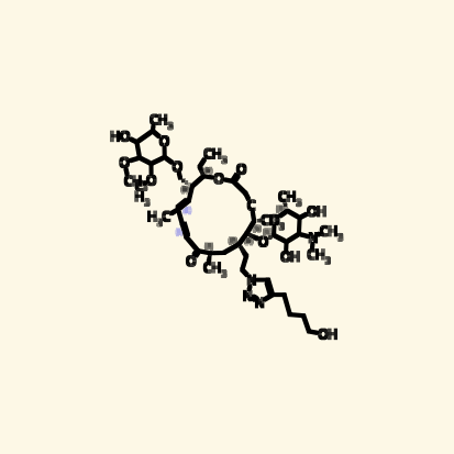 CC[C@H]1OC(=O)CC[C@H](C)[C@@H](O[C@@H]2O[C@H](C)C(O)C(N(C)C)C2O)[C@@H](CCn2cc(CCCCO)nn2)C[C@@H](C)C(=O)/C=C/C(C)=C/[C@@H]1COC1OC(C)C(O)C(OC)C1OC